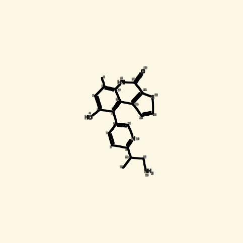 Cc1cc(O)c(-c2ccc(C(C)CN)nc2)c2c1[nH]c(=O)c1sccc12